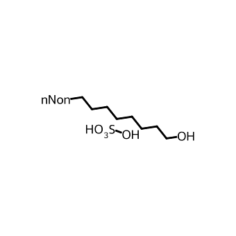 CCCCCCCCCCCCCCCCCO.O=S(=O)(O)O